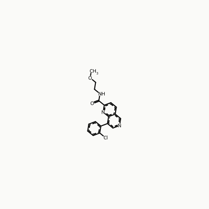 COCCNC(=O)c1ccc2cncc(-c3ccccc3Cl)c2n1